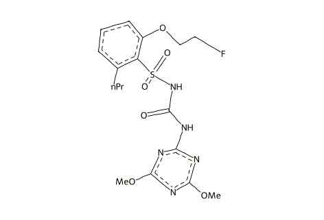 CCCc1cccc(OCCF)c1S(=O)(=O)NC(=O)Nc1nc(OC)nc(OC)n1